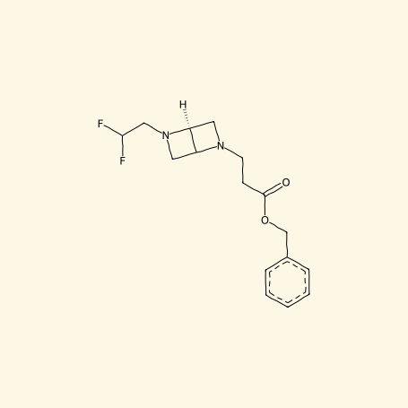 O=C(CCN1C[C@H]2C1CN2CC(F)F)OCc1ccccc1